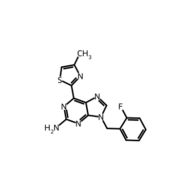 Cc1csc(-c2nc(N)nc3c2ncn3Cc2ccccc2F)n1